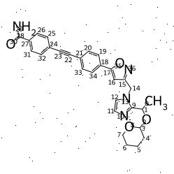 CC(OC1CCCCO1)c1nccn1Cc1cc(-c2ccc(C#Cc3ccc(C(N)=O)cc3)cc2)on1